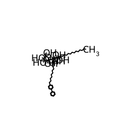 CCCCCCCCCCCCCC[C@@H](O)[C@@H](O)[C@H](COC1OC(CO)C(O)C(O)C1O)NC(=O)CCCCCCCCCCc1ccc(-c2ccccc2)cc1